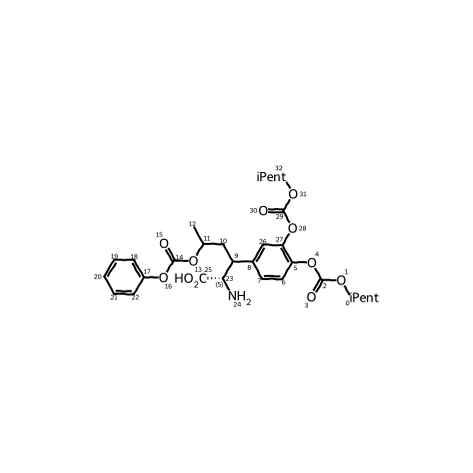 CCCC(C)OC(=O)Oc1ccc(C(CC(C)OC(=O)Oc2ccccc2)[C@H](N)C(=O)O)cc1OC(=O)OC(C)CCC